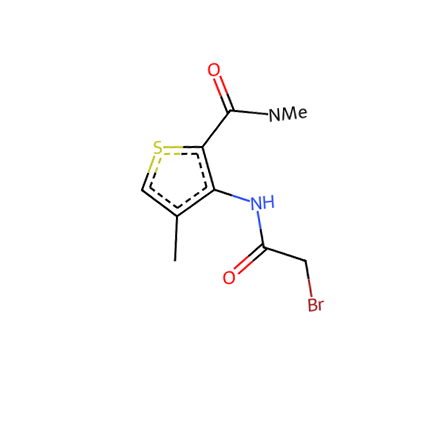 CNC(=O)c1scc(C)c1NC(=O)CBr